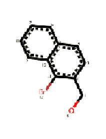 [O]Cc1ccc2ccccc2c1Br